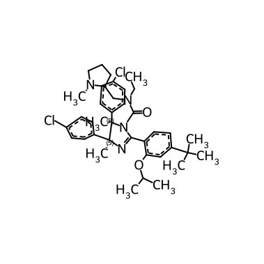 CCN(CC1CCCN1C)C(=O)N1C(c2ccc(C(C)(C)C)cc2OC(C)C)=N[C@@](C)(c2ccc(Cl)cc2)[C@@]1(C)c1ccc(Cl)cc1